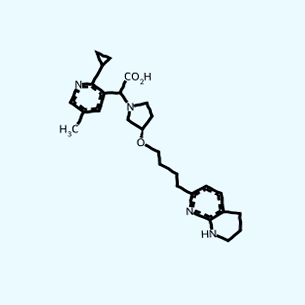 Cc1cnc(C2CC2)c(C(C(=O)O)N2CC[C@@H](OCCCCc3ccc4c(n3)NCCC4)C2)c1